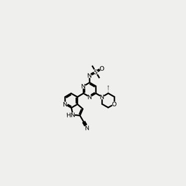 C[C@@H]1COCCN1c1cc(N=S(C)(C)=O)nc(-c2ccnc3[nH]c(C#N)cc23)n1